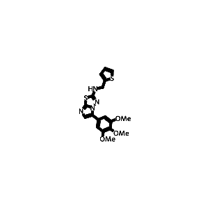 COc1cc(-c2cnc3sc(NCc4cccs4)nn23)cc(OC)c1OC